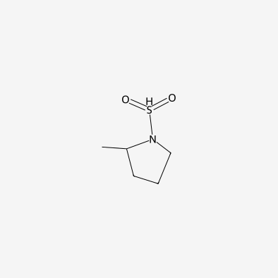 CC1CCCN1[SH](=O)=O